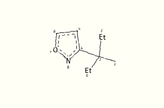 CCC(C)(CC)c1ccon1